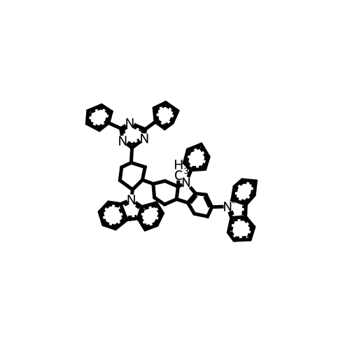 CC12CC(C3CC(c4nc(-c5ccccc5)nc(-c5ccccc5)n4)CCC3n3c4ccccc4c4ccccc43)CCC1C1=C(C=C(n3c4ccccc4c4ccccc43)CC1)N2c1ccccc1